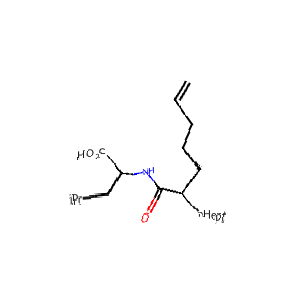 C=CCCCC(CCCCCCC)C(=O)NC(CC(C)C)C(=O)O